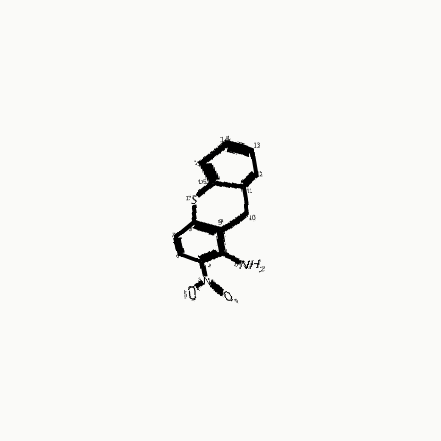 Nc1c([N+](=O)[O-])ccc2c1Cc1ccccc1S2